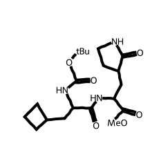 COC(=O)C(CC1CCNC1=O)NC(=O)C(CC1CCC1)NC(=O)OC(C)(C)C